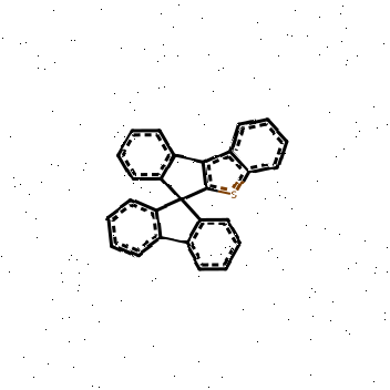 c1ccc2c(c1)-c1ccccc1C21c2ccccc2-c2c1sc1ccccc21